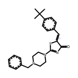 CC(C)(C)c1ccc(/C=C2\SC(N3CCN(Cc4ccccc4)CC3)=NC2=O)cc1